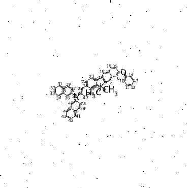 CC1(C)c2cc3cc(Oc4ccccc4)ccc3cc2-c2ccc3cc(N(c4ccc5ccccc5c4)c4ccc5ccccc5c4)ccc3c21